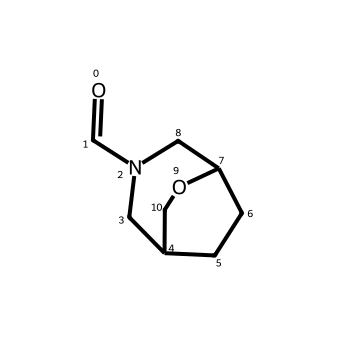 O=CN1CC2CCC(C1)OC2